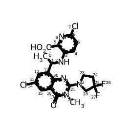 CC(Nc1ccc(Cl)nc1C(=O)O)c1cc(Cl)cc2c(=O)n(C)c(N3CCC(F)(F)C3)nc12